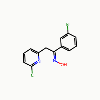 ON=C(Cc1cccc(Cl)n1)c1cccc(Br)c1